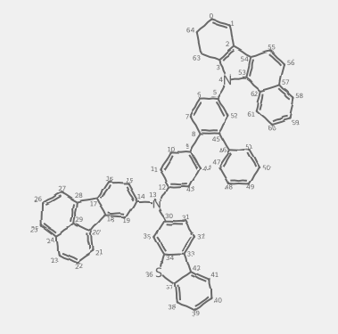 C1=Cc2c(n(-c3ccc(-c4ccc(N(c5ccc6c(c5)-c5cccc7cccc-6c57)c5ccc6c(c5)sc5ccccc56)cc4)c(-c4ccccc4)c3)c3c2ccc2ccccc23)CC1